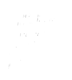 CC1(C)NC(=O)CN2C=C(c3ccc(F)cc3)NC21